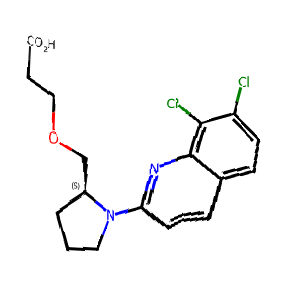 O=C(O)CCOC[C@@H]1CCCN1c1ccc2ccc(Cl)c(Cl)c2n1